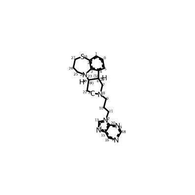 c1cc2c3c(c1)[C@H]1CN(CCCn4cnc5cncnc54)CC[C@H]1N3CCCS2